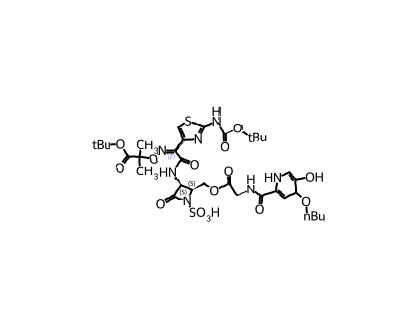 CCCCOC1C=C(C(=O)NCC(=O)OC[C@@H]2[C@H](NC(=O)/C(=N\OC(C)(C)C(=O)OC(C)(C)C)c3csc(NC(=O)OC(C)(C)C)n3)C(=O)N2S(=O)(=O)O)NC=C1O